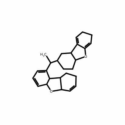 CC(C1=CC=CC2OC3C=CCCC3C12)C1CCC2OC3=CCCC=C3C2C1